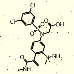 C=C(C(=O)NC)c1ccc(N(CC(=O)O)S(=O)(=O)c2cc(Cl)cc(Cl)c2)cc1N(C)N